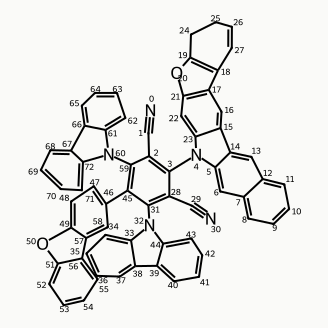 N#Cc1c(-n2c3cc4ccccc4cc3c3cc4c5c(oc4cc32)CCC=C5)c(C#N)c(-n2c3ccccc3c3ccccc32)c(-c2ccc3oc4ccccc4c3c2)c1-n1c2ccccc2c2ccccc21